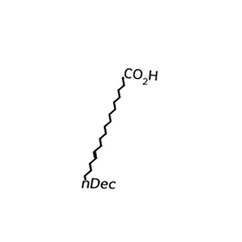 CCCCCCCCCCCCCC=CCCCCCCCCCCCCC(=O)O